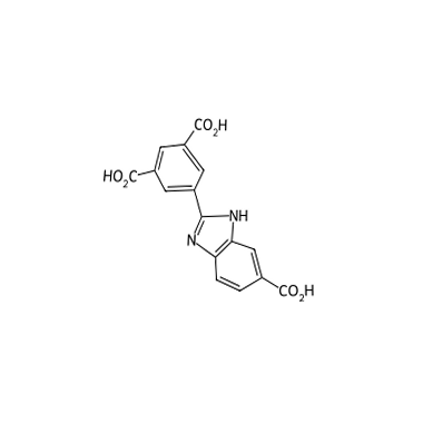 O=C(O)c1cc(C(=O)O)cc(-c2nc3ccc(C(=O)O)cc3[nH]2)c1